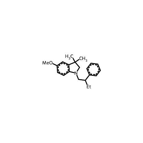 CCC(CN1CC(C)(C)c2cc(OC)ccc21)c1ccccc1